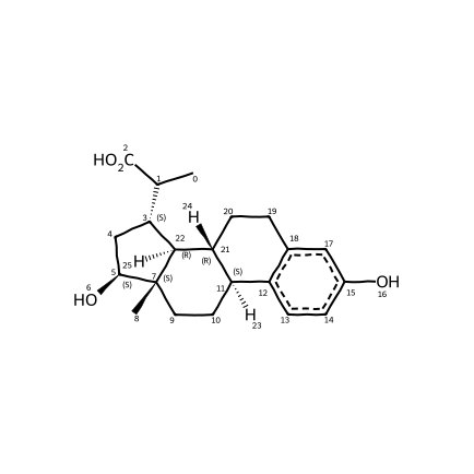 CC(C(=O)O)[C@H]1C[C@H](O)[C@@]2(C)CC[C@@H]3c4ccc(O)cc4CC[C@H]3[C@H]12